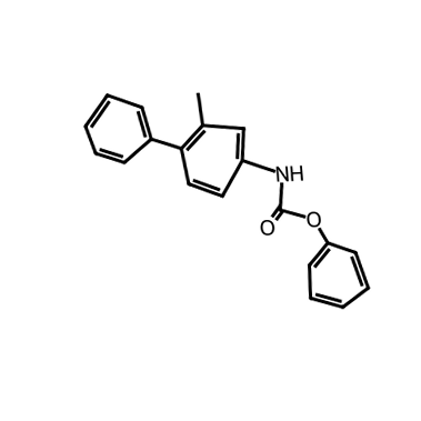 Cc1cc(NC(=O)Oc2ccccc2)ccc1-c1ccccc1